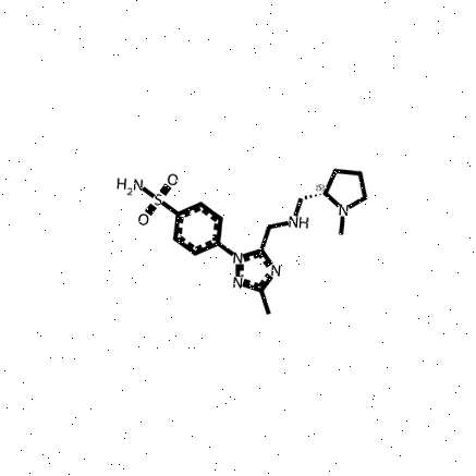 Cc1nc(CNC[C@@H]2CCCN2C)n(-c2ccc(S(N)(=O)=O)cc2)n1